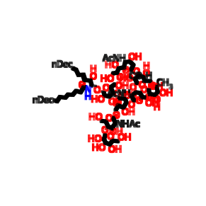 CCCCCCCCCCCCC/C=C/[C@@H](O)[C@H](CO[C@@H]1OC(CO)[C@@H](O[C@@H]2OC(CO[C@@H]3OC(CO)[C@@H](O[C@@H]4OC(CO)[C@H](O)[C@H](O)C4O)[C@H](O)C3NC(C)=O)[C@H](O)[C@H](O[C@@H]3OC(CO)[C@@H](O[C@H]4OC(C)[C@@H](O)C(O)[C@@H]4O)[C@H](O[C@@H]4OC(CO)[C@H](O)[C@H](O[C@]5(C(=O)O)CC(O)[C@@H](NC(C)=O)C([C@H](O)[C@H](O)CO)O5)C4O)C3NC(C)=O)C2O)[C@H](O)C1O)NC(=O)CCCCCCCCCCCCCCCCC